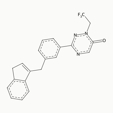 O=c1cnc(-c2cccc(CC3=CCc4ccccc43)c2)nn1CC(F)(F)F